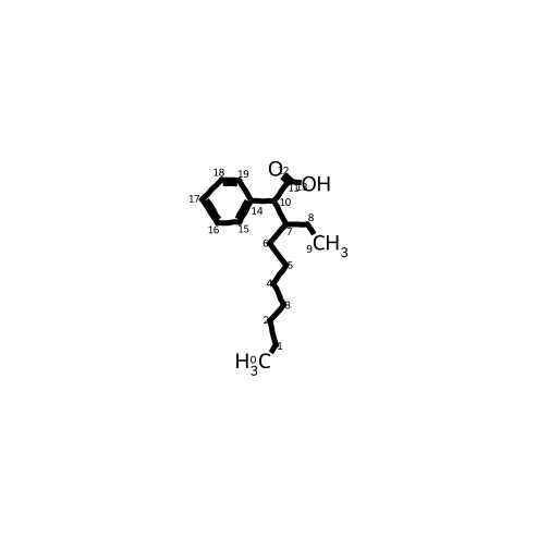 CCCCCCCC(CC)C(C(=O)O)c1ccccc1